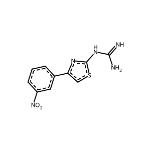 N=C(N)Nc1nc(-c2cccc([N+](=O)[O-])c2)cs1